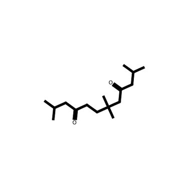 CC(C)CC(=O)CCC(C)(C)CC(=O)CC(C)C